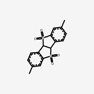 Cc1ccc2c(c1)S(=O)(=O)C1c3ccc(C)cc3S(=O)(=O)C21